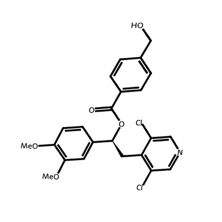 COc1ccc([C@H](Cc2c(Cl)cncc2Cl)OC(=O)c2ccc(CO)cc2)cc1OC